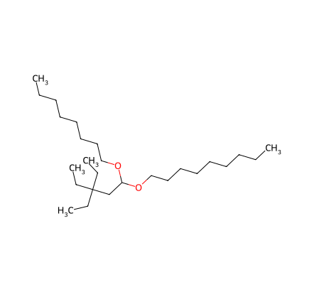 CCCCCCCCCOC(CC(CC)(CC)CC)OCCCCCCCC